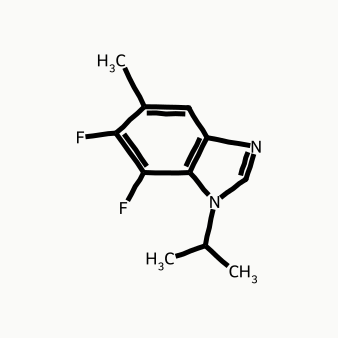 Cc1cc2ncn(C(C)C)c2c(F)c1F